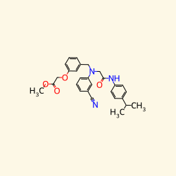 COC(=O)COc1cccc(CN(CC(=O)Nc2ccc(C(C)C)cc2)c2cccc(C#N)c2)c1